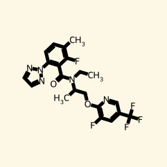 CCN(C(=O)c1c(-n2nccn2)ccc(C)c1F)C(C)COc1ncc(C(F)(F)F)cc1F